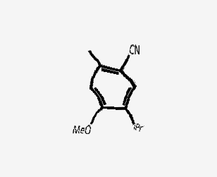 COc1cc(C)c(C#N)cc1C(C)C